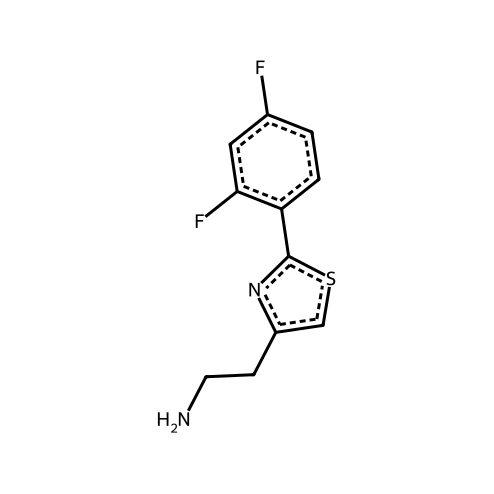 NCCc1csc(-c2ccc(F)cc2F)n1